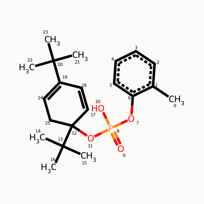 Cc1ccccc1OP(=O)(O)OC1(C(C)(C)C)C=CC(C(C)(C)C)=CC1